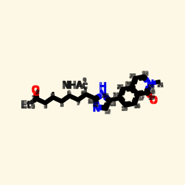 CCC(=O)CCCCC[C@H](NC(C)=O)c1ncc(-c2ccc3c(=O)n(C)ccc3c2)[nH]1